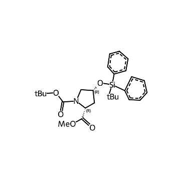 COC(=O)[C@H]1C[C@@H](O[Si](c2ccccc2)(c2ccccc2)C(C)(C)C)CN1C(=O)OC(C)(C)C